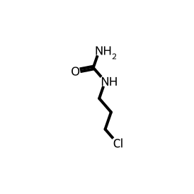 NC(=O)NCCCCl